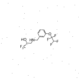 OC(CNCc1cccc(OC(F)(F)C(F)F)c1)C(F)(F)F